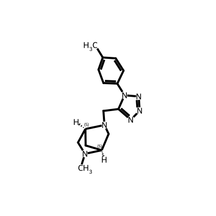 Cc1ccc(-n2nnnc2CN2C[C@@H]3C[C@H]2CN3C)cc1